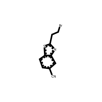 N#Cc1ccc2sc(CCBr)nc2c1